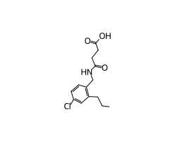 CCCc1cc(Cl)ccc1CNC(=O)CCC(=O)O